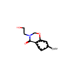 COc1ccc2c(c1)OCN(CCO)C2=O